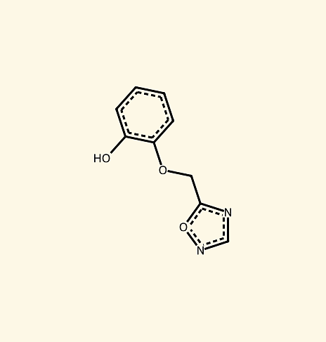 Oc1ccccc1OCc1ncno1